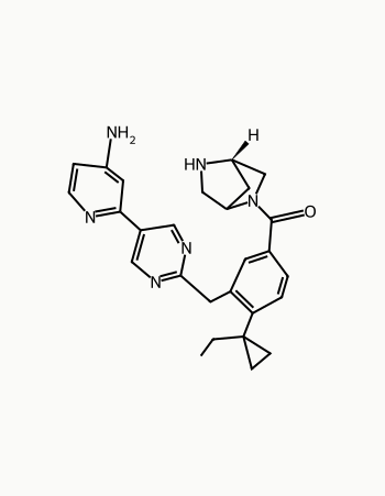 CCC1(c2ccc(C(=O)N3C[C@@H]4CC3CN4)cc2Cc2ncc(-c3cc(N)ccn3)cn2)CC1